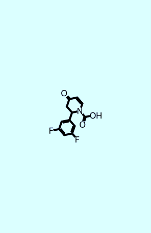 O=C1C=CN(C(=O)O)C(c2cc(F)cc(F)c2)C1